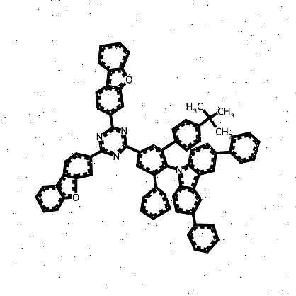 CC(C)(C)c1ccc(-c2cc(-c3nc(-c4ccc5c(c4)oc4ccccc45)nc(-c4ccc5c(c4)oc4ccccc45)n3)cc(-c3ccccc3)c2-n2c3ccc(-c4ccccc4)cc3c3cc(-c4ccccc4)ccc32)cc1